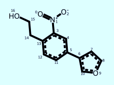 O=[N+]([O-])c1cc(-c2ccoc2)ccc1CCO